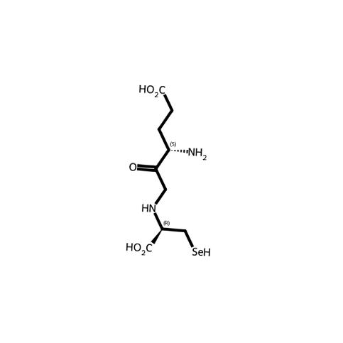 N[C@@H](CCC(=O)O)C(=O)CN[C@@H](C[SeH])C(=O)O